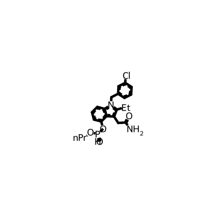 CCCO[PH](=O)Oc1cccc2c1c(CC(N)=O)c(CC)n2Cc1cccc(Cl)c1